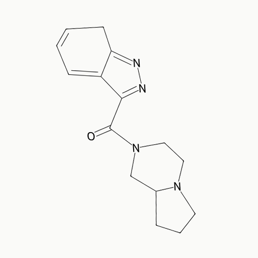 O=C(C1=NN=C2CC=CC=C21)N1CCN2CCCC2C1